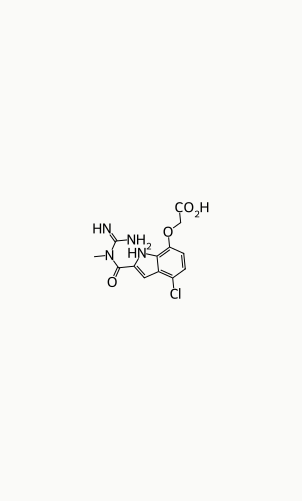 CN(C(=N)N)C(=O)c1cc2c(Cl)ccc(OCC(=O)O)c2[nH]1